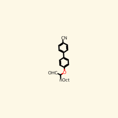 CCCCCCCCC(C=O)Oc1ccc(-c2ccc(C#N)cc2)cc1